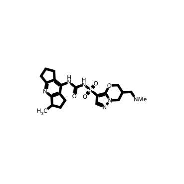 CNCC1COc2c(S(=O)(=O)NC(=O)Nc3c4c(nc5c3CCC5C)CCC4)cnn2C1